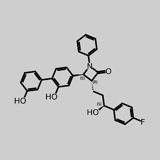 O=C1[C@H](CC[C@H](O)c2ccc(F)cc2)[C@@H](c2ccc(-c3cccc(O)c3)c(O)c2)N1c1ccccc1